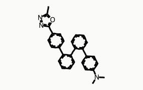 Cc1nnc(-c2ccc(-c3ccccc3-c3ccccc3-c3ccc(N(C)C)cc3)cc2)o1